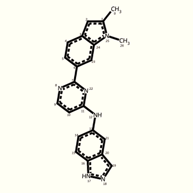 Cc1cc2ccc(-c3nccc(Nc4ccc5[nH]ncc5c4)n3)cc2n1C